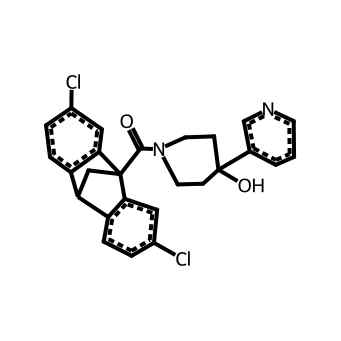 O=C(N1CCC(O)(c2cccnc2)CC1)C12CC(c3ccc(Cl)cc31)c1ccc(Cl)cc12